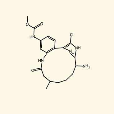 COC(=O)Nc1ccc2c(c1)NC(=O)CC(C)CCCC(N)c1nc-2c(Cl)[nH]1